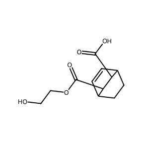 O=C(O)C1C2C=CC(CC2)C1C(=O)OCCO